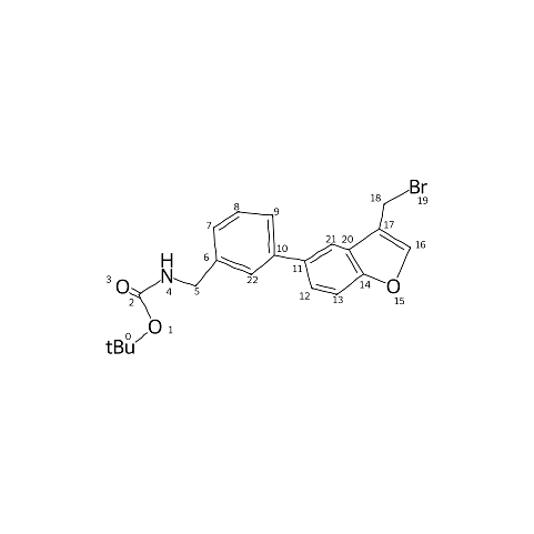 CC(C)(C)OC(=O)NCc1cccc(-c2ccc3occ(CBr)c3c2)c1